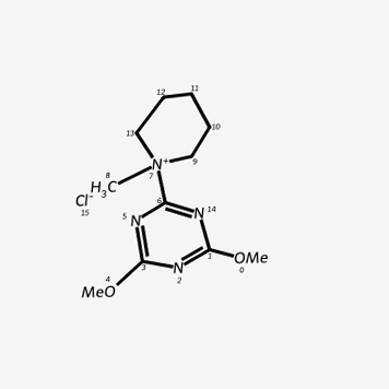 COc1nc(OC)nc([N+]2(C)CCCCC2)n1.[Cl-]